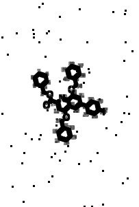 O=C(OCc1ccccc1)c1cc(OCc2ccccc2)c2cc(-c3ccc(F)cc3)cc(OCc3ccccc3)c2n1